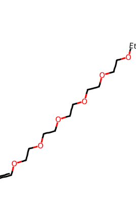 C=COCCOCCOCCOCCOCCOCC